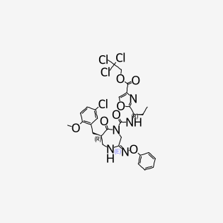 CC[C@@H](NC(=O)N1C/C(=N\Oc2ccccc2)NC[C@@H](Cc2cc(Cl)ccc2OC)C1=O)c1nc(C(=O)OCC(Cl)(Cl)Cl)co1